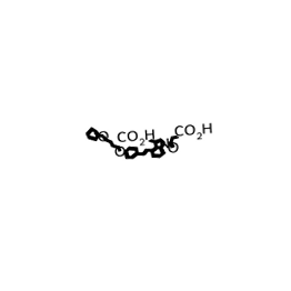 O=C(O)CCC(=O)n1cc(CC(=O)O)c2c(/C=C/c3ccc(OCCCCOc4ccccc4)cc3)cccc21